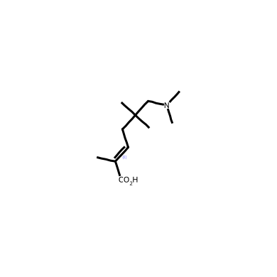 C/C(=C\CC(C)(C)CN(C)C)C(=O)O